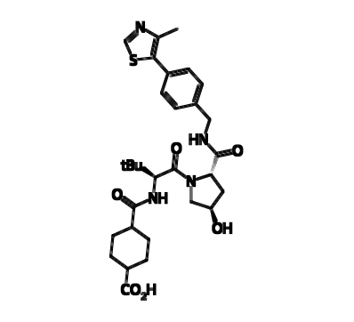 Cc1ncsc1-c1ccc(CNC(=O)[C@@H]2C[C@@H](O)CN2C(=O)[C@@H](NC(=O)C2CCC(C(=O)O)CC2)C(C)(C)C)cc1